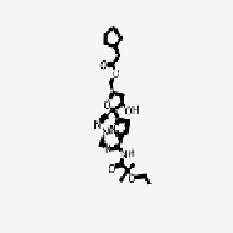 CCOC(C)(C)C(=O)Nc1ncnn2c([C@]3(C#N)O[C@@H](COC(=O)CC4CCCC4)[CH][C@H]3O)ccc12